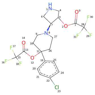 O=C(OC1CNC[C@@H]1N1CCC(OC(=O)C(F)(F)F)(c2ccc(Cl)cc2)CC1)C(F)(F)F